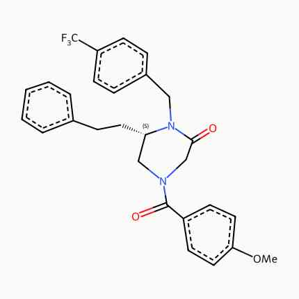 COc1ccc(C(=O)N2CC(=O)N(Cc3ccc(C(F)(F)F)cc3)[C@@H](CCc3ccccc3)C2)cc1